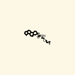 CN(C)CCOCCNC(=O)OC1CCC2C(=CCC3C4CCCC4CCC23)C1